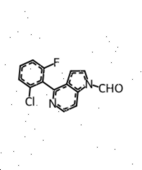 O=Cn1ccc2c(-c3c(F)cccc3Cl)nccc21